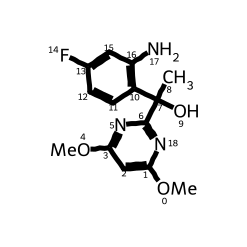 COc1cc(OC)nc(C(C)(O)c2ccc(F)cc2N)n1